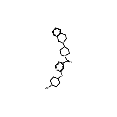 CC(=O)N1CCC(Oc2cc(C(=O)N3CCC(N4CCc5ccccc5C4)CC3)ncn2)CC1